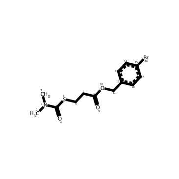 CN(C)C(=O)SCCC(=O)OCc1ccc(Br)cc1